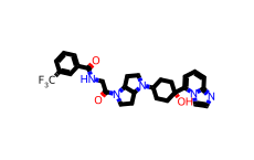 O=C(NCC(=O)N1CCC2C1CCN2C1CCC(O)(c2cccc3nccn23)CC1)c1cccc(C(F)(F)F)c1